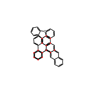 c1ccc(-c2ccccc2-c2c(-c3ccccc3)cccc2-c2ccccc2N(c2ccc3ccccc3c2)c2ccc3oc4ccccc4c3c2)cc1